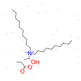 CCC(=O)[O-].CCCCCCCCCC[N+](C)(CCCCCCCCCC)C(C)O